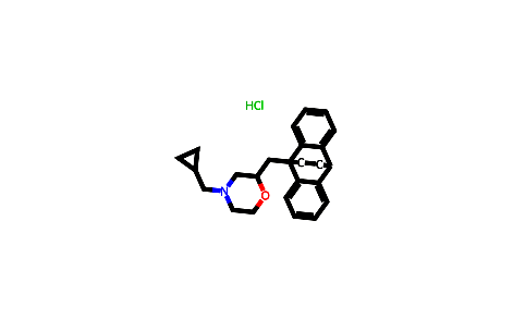 Cl.c1ccc2c(c1)C1CCC2(CC2CN(CC3CC3)CCO2)c2ccccc21